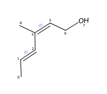 C/C=C/C(C)=C\CO